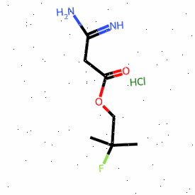 CC(C)(F)COC(=O)CC(=N)N.Cl